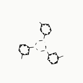 Fc1cccc(B2OB(c3cccc(F)c3)OB(c3cccc(F)c3)O2)c1